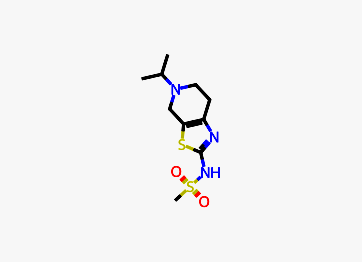 CC(C)N1CCc2nc(NS(C)(=O)=O)sc2C1